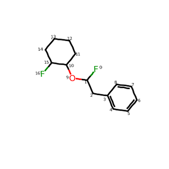 FC(Cc1ccccc1)OC1CC[CH]CC1F